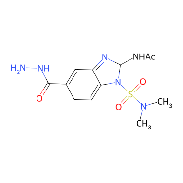 CC(=O)NC1N=C2C=C(C(=O)NN)CC=C2N1S(=O)(=O)N(C)C